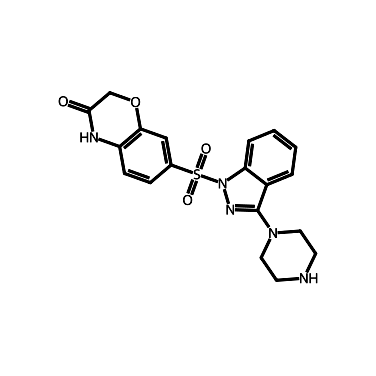 O=C1COc2cc(S(=O)(=O)n3nc(N4CCNCC4)c4ccccc43)ccc2N1